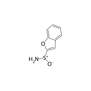 N[S+]([O-])c1cc2ccccc2o1